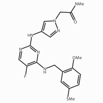 CNC(=O)Cn1cc(Nc2ncc(F)c(NCc3cc(SC)ccc3OC)n2)cn1